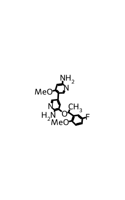 COc1cc(N)ncc1-c1cnc(N)c(OC(C)c2cc(F)ccc2OC)c1